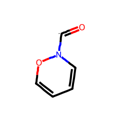 O=[C]N1C=CC=CO1